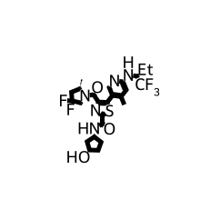 CC[C@H](Nc1cc(C)c(-c2sc(C(=O)N[C@@H]3CC[C@@H](O)C3)nc2C(=O)N2CC(F)(F)C[C@@H]2C)cn1)C(F)(F)F